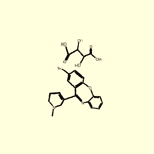 CN1CCC=C(C2=Nc3ccccc3Oc3ccc(Br)cc32)C1.O=C(O)C(O)C(O)C(=O)O